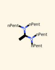 C=C(N(CCCCC)CCCCC)N(CCCCC)CCCCC